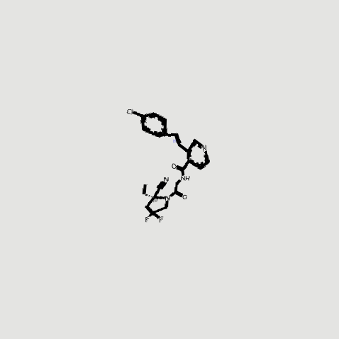 CC[C@@]1(C#N)CC(F)(F)CN1C(=O)CNC(=O)c1ccncc1/C=C/c1ccc(Cl)cc1